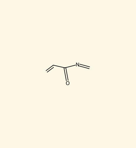 C=CC(=O)N=C